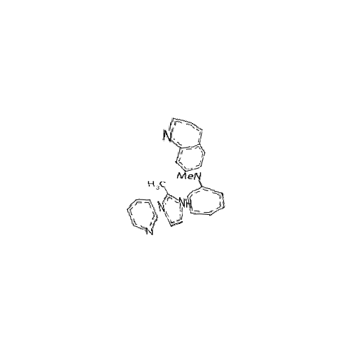 CNc1ccccc1.Cc1ncc[nH]1.c1ccc2ncccc2c1.c1ccncc1